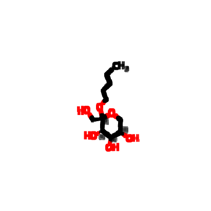 CCCCCO[C@]1(CO)OC[C@@H](O)[C@@H](O)[C@@H]1O